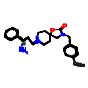 COc1ccc(CN2CC3(CCN(CC[C@H](N)c4ccccc4)CC3)OC2=O)cc1